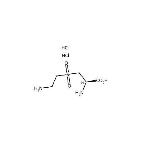 Cl.Cl.NCCS(=O)(=O)C[C@H](N)C(=O)O